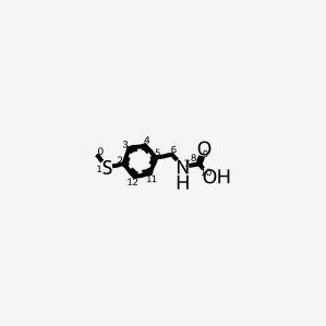 CSc1ccc(CNC(=O)O)cc1